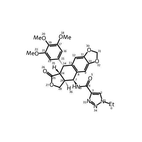 CCn1cc(C(=O)N[C@@H]2c3cc4c(cc3[C@@H](c3cc(OC)c(OC)c(OC)c3)[C@H]3C(=O)OC[C@@H]32)OCO4)nn1